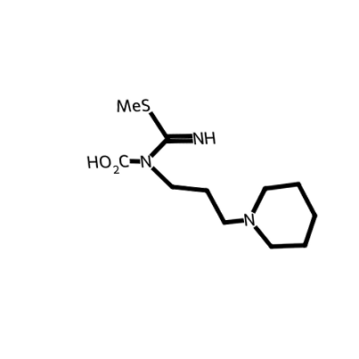 CSC(=N)N(CCCN1CCCCC1)C(=O)O